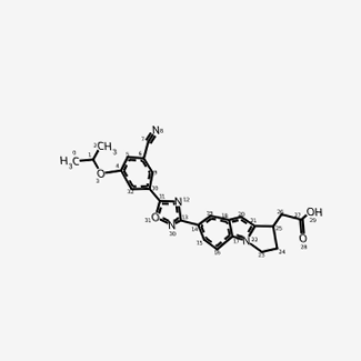 CC(C)Oc1cc(C#N)cc(-c2nc(-c3ccc4c(c3)cc3n4CCC3CC(=O)O)no2)c1